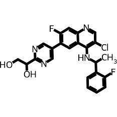 CC(Nc1c(Cl)cnc2cc(F)c(-c3cnc(C(O)CO)nc3)cc12)c1ccccc1F